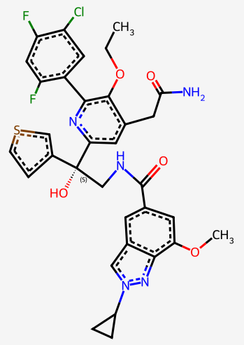 CCOc1c(CC(N)=O)cc([C@@](O)(CNC(=O)c2cc(OC)c3nn(C4CC4)cc3c2)c2ccsc2)nc1-c1cc(Cl)c(F)cc1F